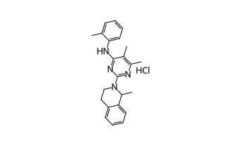 Cc1ccccc1Nc1nc(N2CCc3ccccc3C2C)nc(C)c1C.Cl